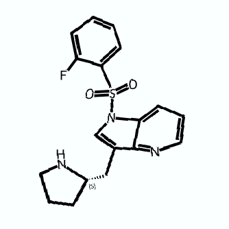 O=S(=O)(c1ccccc1F)n1cc(C[C@@H]2CCCN2)c2ncccc21